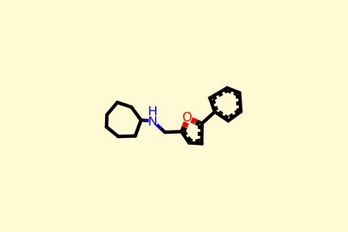 c1ccc(-c2ccc(CNC3CCCCCC3)o2)cc1